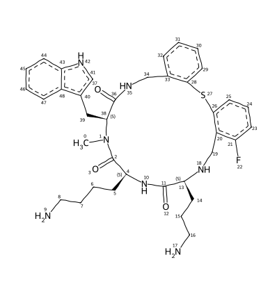 CN1C(=O)[C@H](CCCCN)NC(=O)[C@H](CCCN)NCc2c(F)cccc2Sc2ccccc2CNC(=O)[C@@H]1Cc1c[nH]c2ccccc12